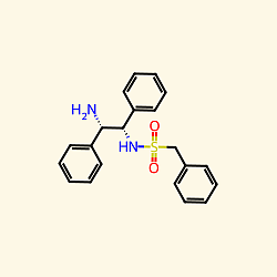 N[C@@H](c1ccccc1)[C@@H](NS(=O)(=O)Cc1ccccc1)c1ccccc1